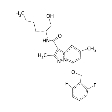 CCCC[C@H](CO)NC(=O)c1c(C)nn2c(OCc3c(F)cccc3F)cc(C)cc12